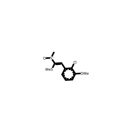 COc1cccc(/C=C(\SC)[S+](C)[O-])c1Cl